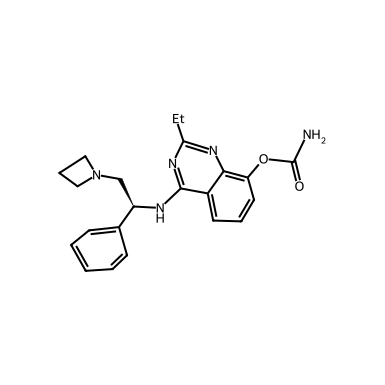 CCc1nc(N[C@H](CN2CCC2)c2ccccc2)c2cccc(OC(N)=O)c2n1